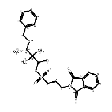 CCC(OS(=O)(=O)CCCN1C(=O)c2ccccc2C1=O)C(C)(C)[C@@H](OCc1ccccc1)C(=O)O